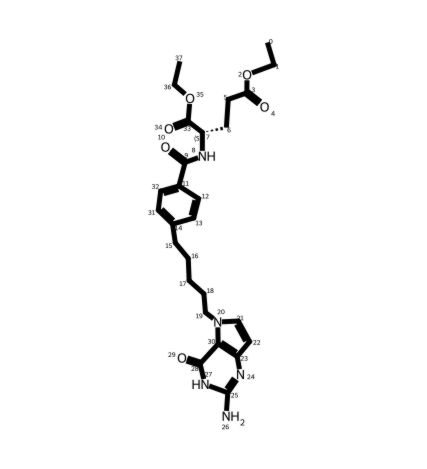 CCOC(=O)CC[C@H](NC(=O)c1ccc(CCCCCn2ccc3nc(N)[nH]c(=O)c32)cc1)C(=O)OCC